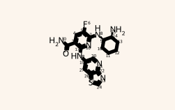 NC(=O)c1cc(F)c(N[C@@H]2CCCC[C@@H]2N)nc1Nc1cnc2ncsc2c1